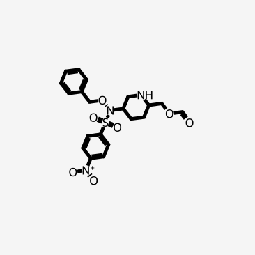 O=COCC1CCC(N(OCc2ccccc2)S(=O)(=O)c2ccc([N+](=O)[O-])cc2)CN1